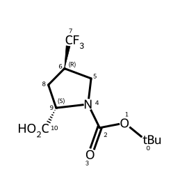 CC(C)(C)OC(=O)N1C[C@H](C(F)(F)F)C[C@H]1C(=O)O